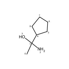 CC(N)(O)C1CCCC1